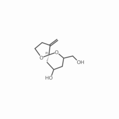 C=C1CCO[C@@]12CC(O)CC(CO)O2